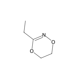 CCC1=NOCCO1